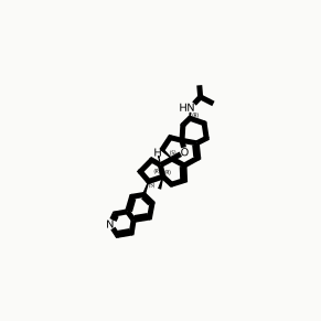 CC(C)N[C@@H]1CCC2=CC3=CC[C@]4(C)[C@@H](c5ccc6ccncc6c5)CC[C@H]4[C@@]34CCC2(C1)O4